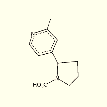 Cc1cc(C2CCCN2C(=O)O)ccn1